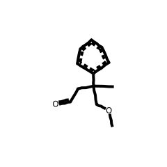 COCC(C)(CC=O)c1ccccc1